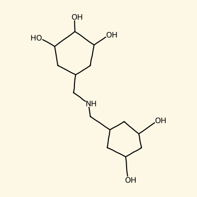 OC1CC(O)CC(CNCC2CC(O)C(O)C(O)C2)C1